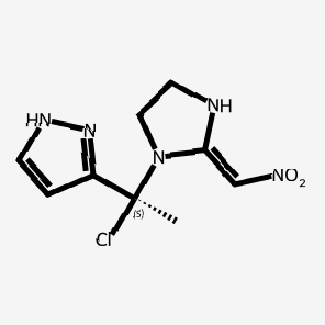 C[C@](Cl)(c1cc[nH]n1)N1CCNC1=C[N+](=O)[O-]